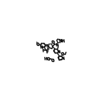 CCOc1ncccc1-c1ccc2c(n1)CN([C@H]1CCNC1)C(=O)C21CCN(c2ccc(OC)nc2C(F)(F)F)CC1.O=CO